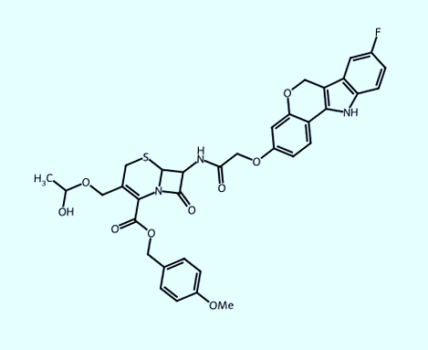 COc1ccc(COC(=O)C2=C(COC(C)O)CSC3C(NC(=O)COc4ccc5c(c4)OCc4c-5[nH]c5ccc(F)cc45)C(=O)N23)cc1